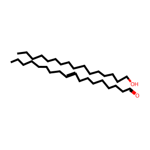 CCCCCCCCC=CCCCCCCCC=O.CCCCCCCCCCCCCCCCO